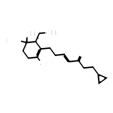 CCC1C(CC/C=C/C(=O)CCC2CC2)=C(C)CCC1(C)C